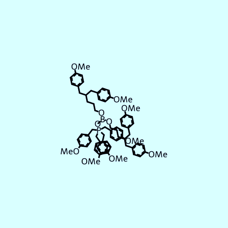 COc1ccc(CC(CCCOB(OCCCC(Cc2ccc(OC)cc2)Cc2ccc(OC)cc2)OP(Cc2ccc(OC)cc2)(Cc2ccc(OC)cc2)(Cc2ccc(OC)cc2)Cc2ccc(OC)cc2)Cc2ccc(OC)cc2)cc1